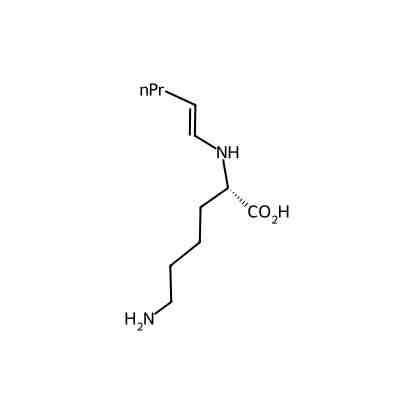 CCCC=CN[C@@H](CCCCN)C(=O)O